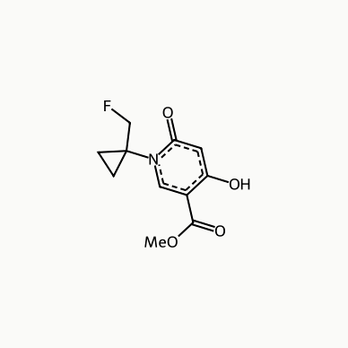 COC(=O)c1cn(C2(CF)CC2)c(=O)cc1O